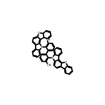 N#Cc1cccc(-c2cccc(C#N)c2-n2c3ccccc3c3ccc4c(c32)C2C=CC=CC2O4)c1-n1c2ccccc2c2c3oc4ccccc4c3ccc21